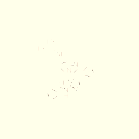 C[C@H](Nc1nccc(-c2c(-c3ccc(F)cc3)nc3cc(CNC(CO)CO)ccn23)n1)c1ccccc1